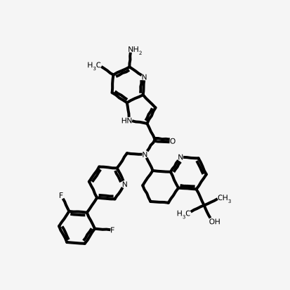 Cc1cc2[nH]c(C(=O)N(Cc3ccc(-c4c(F)cccc4F)cn3)C3CCCc4c(C(C)(C)O)ccnc43)cc2nc1N